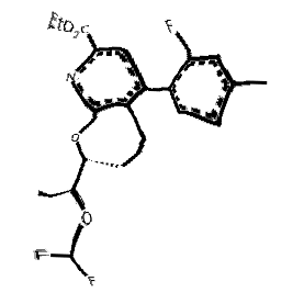 CCOC(=O)c1cc(-c2ccc(C)cc2F)c2c(n1)O[C@@H]([C@H](C)OC(F)F)CC2